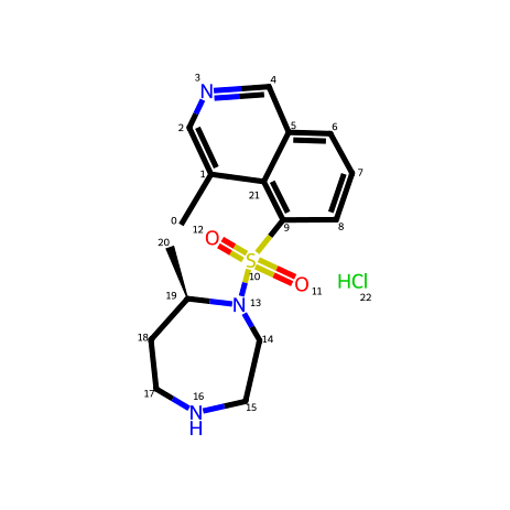 Cc1cncc2cccc(S(=O)(=O)N3CCNCC[C@H]3C)c12.Cl